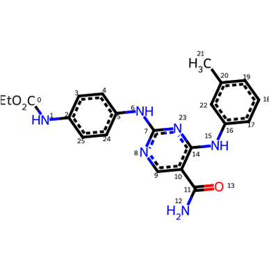 CCOC(=O)Nc1ccc(Nc2ncc(C(N)=O)c(Nc3cccc(C)c3)n2)cc1